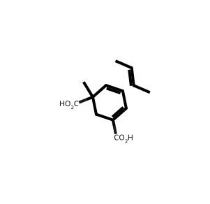 CC1(C(=O)O)C=CC=C(C(=O)O)C1.CC=CC